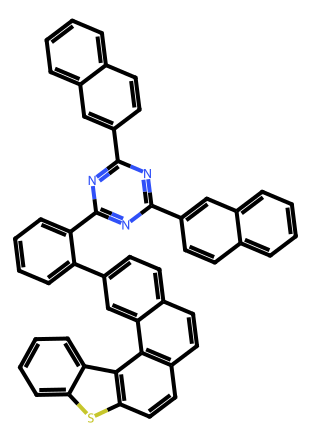 c1ccc(-c2nc(-c3ccc4ccccc4c3)nc(-c3ccc4ccccc4c3)n2)c(-c2ccc3ccc4ccc5sc6ccccc6c5c4c3c2)c1